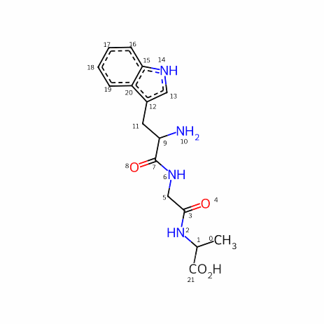 CC(NC(=O)CNC(=O)C(N)Cc1c[nH]c2ccccc12)C(=O)O